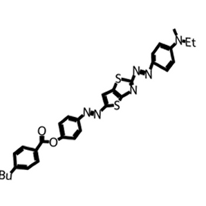 CCCCc1ccc(C(=O)Oc2ccc(N=Nc3cc4sc(N=Nc5ccc(N(C)CC)cc5)nc4s3)cc2)cc1